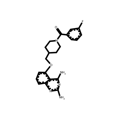 Nc1nc(N)c2c(OCC3CCN(C(=O)c4cccc(F)c4)CC3)cccc2n1